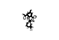 CC(=O)c1cc(C)cc2c(=O)n(C)c(N3CCCC(C)(C)C3)nc12